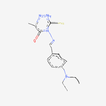 CCN(CC)c1ccc(C=Nn2c(=S)[nH]nc(C)c2=O)cc1